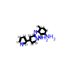 Cc1ccc(N)cc1N=c1cc(-c2cccnc2)ccn1N